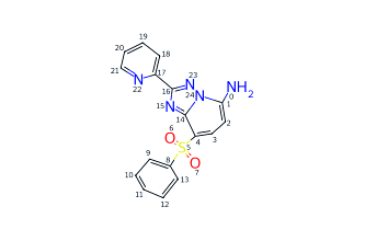 Nc1ccc(S(=O)(=O)c2ccccc2)c2nc(-c3ccccn3)nn12